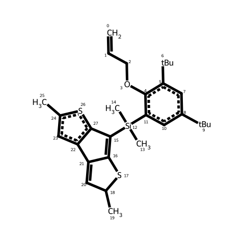 C=CCOc1c(C(C)(C)C)cc(C(C)(C)C)cc1[Si](C)(C)C1=C2SC(C)C=C2c2cc(C)sc21